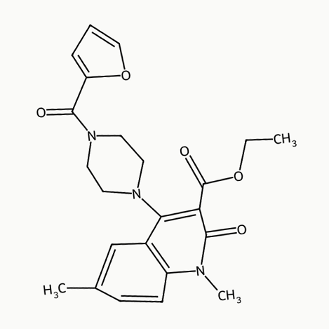 CCOC(=O)c1c(N2CCN(C(=O)c3ccco3)CC2)c2cc(C)ccc2n(C)c1=O